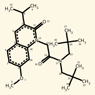 COc1ccc2cc(C(C)C)c(=O)n(CC(=O)N(CC(C)(C)C)CC(C)(C)C)c2c1